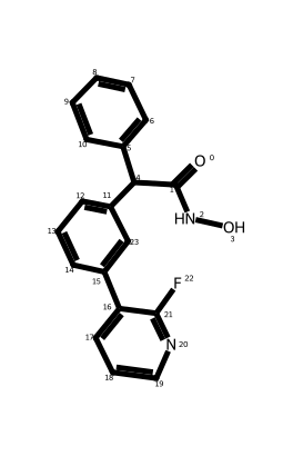 O=C(NO)C(c1ccccc1)c1cccc(-c2cccnc2F)c1